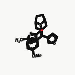 COc1cccc(C(=C2CC3CCC(C2)N3Cc2ccc(C)s2)c2ccsc2)c1